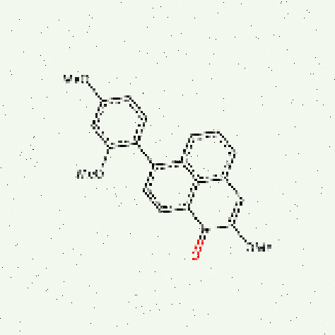 COC1=Cc2cccc3c(-c4ccc(OC)cc4OC)ccc(c23)C1=O